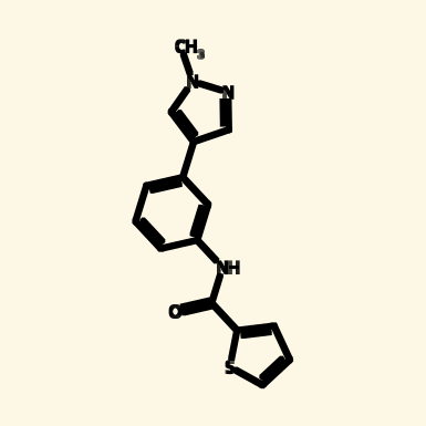 Cn1cc(-c2cccc(NC(=O)c3cccs3)c2)cn1